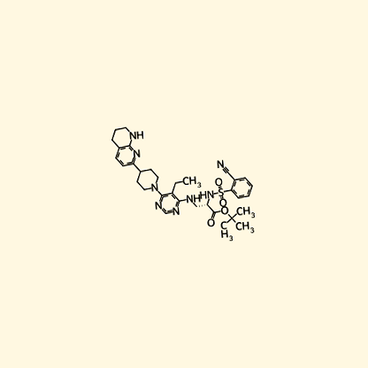 CCc1c(NC[C@H](NS(=O)(=O)c2ccccc2C#N)C(=O)OC(C)(C)C)ncnc1N1CCC(c2ccc3c(n2)NCCC3)CC1